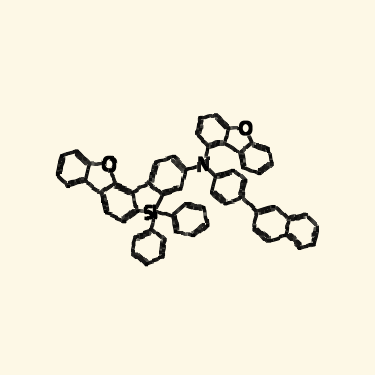 c1ccc([Si]2(c3ccccc3)c3cc(N(c4ccc(-c5ccc6ccccc6c5)cc4)c4cccc5oc6ccccc6c45)ccc3-c3c2ccc2c3oc3ccccc32)cc1